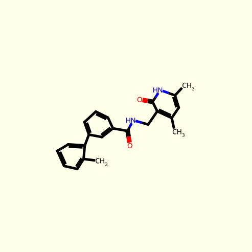 Cc1cc(C)c(CNC(=O)c2cccc(-c3ccccc3C)c2)c(=O)[nH]1